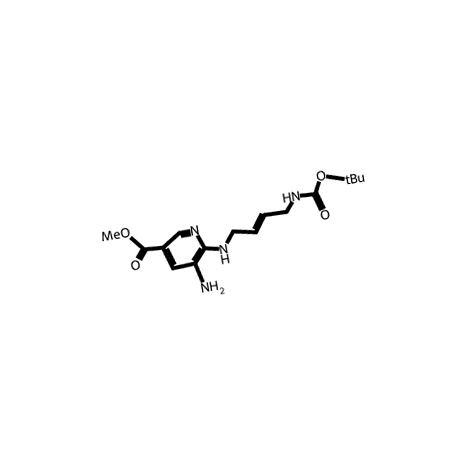 COC(=O)c1cnc(NC/C=C/CNC(=O)OC(C)(C)C)c(N)c1